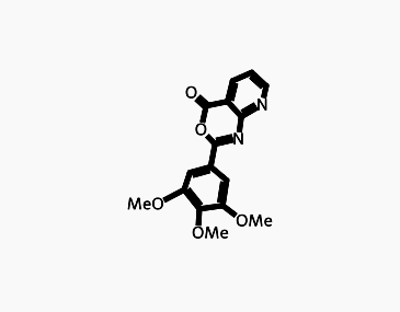 COc1cc(-c2nc3ncccc3c(=O)o2)cc(OC)c1OC